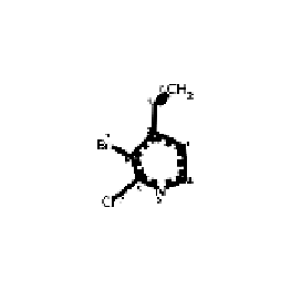 C=Cc1ccnc(Cl)c1Br